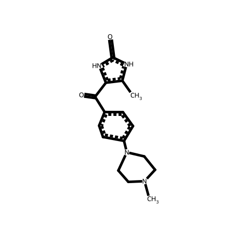 Cc1[nH]c(=O)[nH]c1C(=O)c1ccc(N2CCN(C)CC2)cc1